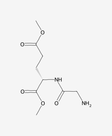 COC(=O)CC[C@H](NC(=O)CN)C(=O)OC